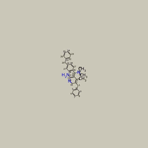 Cc1c(Cc2ccccc2)cnc(N)c1C(c1ccc(Cc2ccccc2)cc1)N(C)C